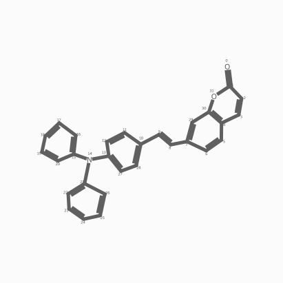 O=c1ccc2ccc(C=Cc3ccc(N(c4ccccc4)c4ccccc4)cc3)cc2o1